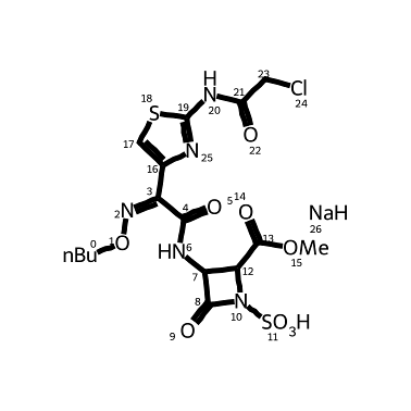 CCCCO/N=C(\C(=O)NC1C(=O)N(S(=O)(=O)O)C1C(=O)OC)c1csc(NC(=O)CCl)n1.[NaH]